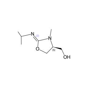 CC(C)/N=C1\OC[C@H](CO)N1C